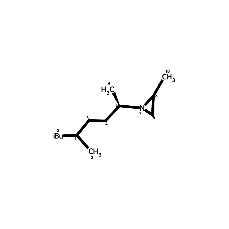 CCC(C)C(C)CC[C@@H](C)N1CC1C